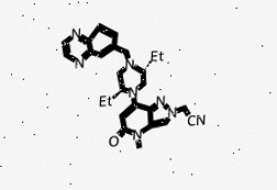 CC[C@@H]1CN(c2cc(=O)n(C)c3cn(CC#N)nc23)[C@@H](CC)CN1Cc1ccc2nccnc2c1